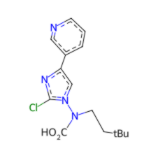 CC(C)(C)CCN(C(=O)O)n1cc(-c2cccnc2)nc1Cl